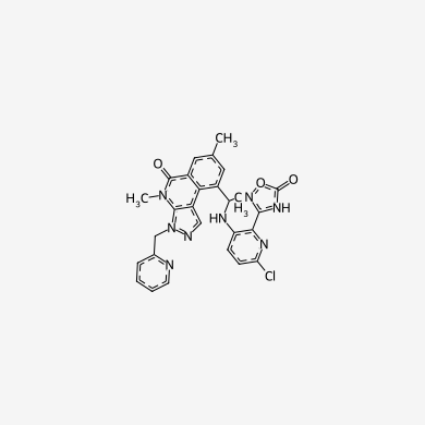 Cc1cc(C(C)Nc2ccc(Cl)nc2-c2noc(=O)[nH]2)c2c(c1)c(=O)n(C)c1c2cnn1Cc1ccccn1